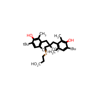 Cc1cc(C(C)(C)C)c(O)c(C)c1CC(CSCCC(=O)O)(Cc1c(C)cc(C(C)(C)C)c(O)c1C)C(=O)O